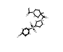 CC(=O)N1CCC(C)(C(=O)N2CCC(S(=O)(=O)c3ccc(F)cc3)C2)CC1